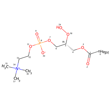 CCCCCCCC(=O)OC[C@H](COP(=O)([O-])OCC[N+](C)(C)C)OO